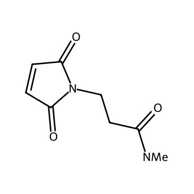 [CH2]NC(=O)CCN1C(=O)C=CC1=O